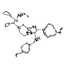 N[C@H](C(=O)N1CCn2c(nc(-c3ccc(F)cc3)c2Nc2ccc(F)cc2)C1)C1CC1